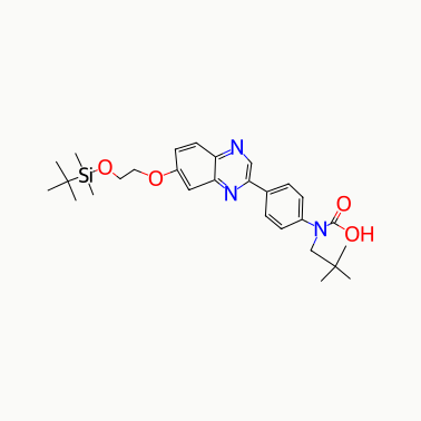 CC(C)(C)CN(C(=O)O)c1ccc(-c2cnc3ccc(OCCO[Si](C)(C)C(C)(C)C)cc3n2)cc1